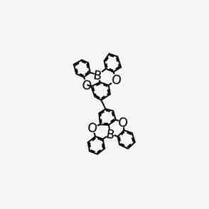 c1ccc2c(c1)Oc1cc(-c3cc4c5c(c3)Oc3ccccc3B5c3ccccc3O4)cc3c1B2c1ccccc1O3